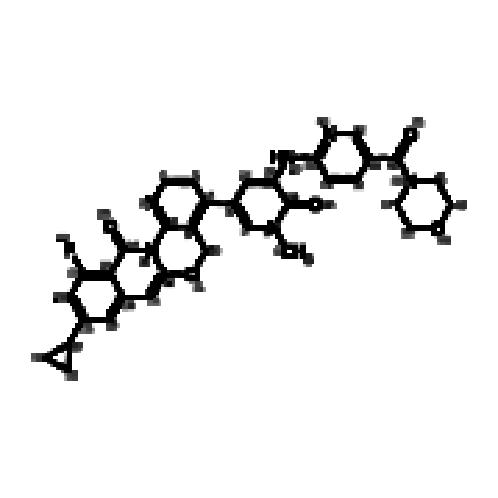 Cn1cc(-c2ccnc3c2COc2cc4cc(C5CC5)cc(F)c4c(=O)n2-3)cc(Nc2ccc(C(=O)N3CCOCC3)cn2)c1=O